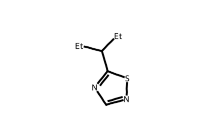 CCC(CC)c1ncns1